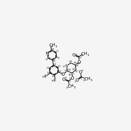 CC(=O)O[C@@H]1[C@@H](OC(C)=O)[C@@H](Oc2cc(-c3ccc(C)nc3)cc(F)c2F)SC[C@H]1OC(C)=O